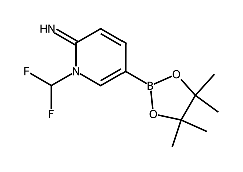 CC1(C)OB(c2ccc(=N)n(C(F)F)c2)OC1(C)C